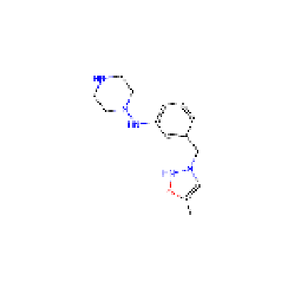 CC1=CN(Cc2cccc(NN3CCNCC3)c2)NO1